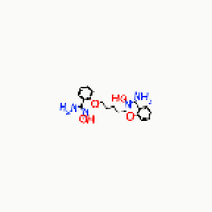 NC(=NO)c1ccccc1OCCCCCOc1ccccc1C(N)=NO